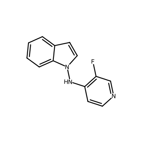 Fc1cnccc1Nn1ccc2ccccc21